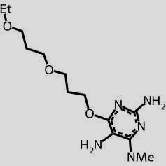 CCOCCCOCCCOc1nc(N)nc(NC)c1N